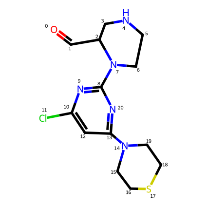 O=CC1CNCCN1c1nc(Cl)cc(N2CCSCC2)n1